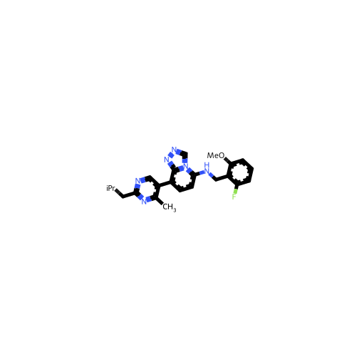 COc1cccc(F)c1CNc1ccc(-c2cnc(CC(C)C)nc2C)c2nncn12